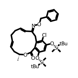 C[C@@H]1C/C=C/CC/C=C/C(=NOCc2ccccc2)Cc2c(Cl)c(O[Si](C)(C)C(C)(C)C)cc(O[Si](C)(C)C(C)(C)C)c2C(=O)O1